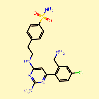 NCc1cc(Cl)ccc1-c1cc(NCCc2ccc(S(N)(=O)=O)cc2)nc(N)n1